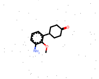 COc1c(N)cccc1C1CCC(=O)CC1